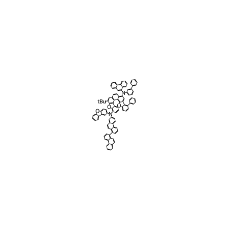 CC(C)(C)c1cc2ccc3c(N(c4cccc(-c5ccccc5)c4)c4cc5ccccc5c5ccccc45)cc4c(oc5cccc(-c6ccccc6)c54)c3c2c2c1oc1c(N(c3ccc4c(ccc5c(-c6cccc7c6ccc6ccccc67)cccc54)c3)c3ccc4oc5ccccc5c4c3)cccc12